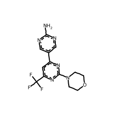 Nc1ncc(-c2cc(C(F)(F)F)nc(N3CCOCC3)n2)cn1